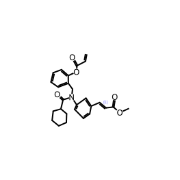 C=CC(=O)Oc1ccccc1CN(C(=O)C1CCCCC1)c1cccc(/C=C/C(=O)OC)c1